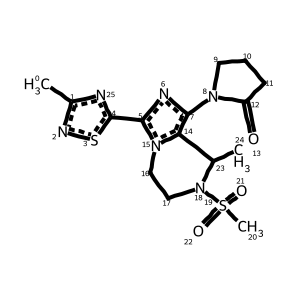 Cc1nsc(-c2nc(N3CCCC3=O)c3n2CCN(S(C)(=O)=O)C3C)n1